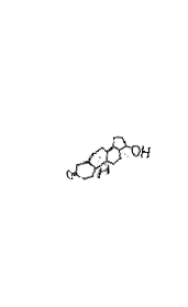 C[C@]12CC[C@@H]3C(=C1CCC2O)CCC1CC(=O)CC[C@@]13C